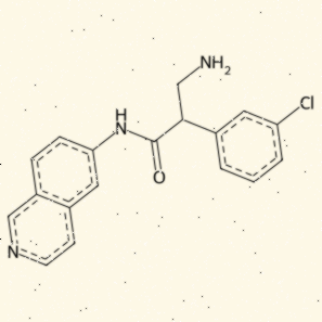 NCC(C(=O)Nc1ccc2cnccc2c1)c1cccc(Cl)c1